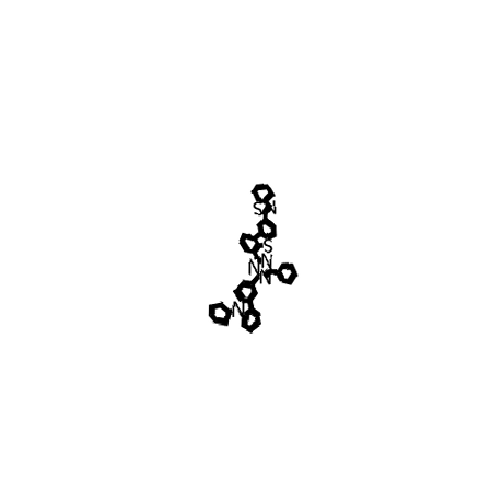 C1=CCC(n2c3ccccc3c3cc(-c4nc(-c5ccccc5)nc(-c5cccc6c5sc5ccc(-c7nc8ccccc8s7)cc56)n4)ccc32)C=C1